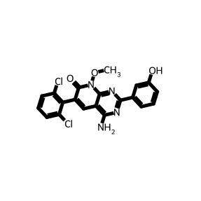 COn1c(=O)c(-c2c(Cl)cccc2Cl)cc2c(N)nc(-c3cccc(O)c3)nc21